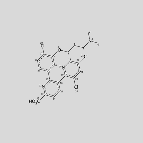 CN(C)CCCOc1cc(-c2nc(C(=O)O)ccc2-c2ncc(Cl)cc2Cl)ccc1Cl